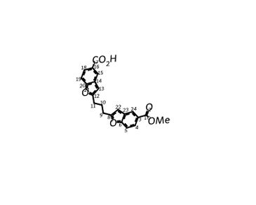 COC(=O)c1ccc2oc(CCCc3cc4cc(C(=O)O)ccc4o3)cc2c1